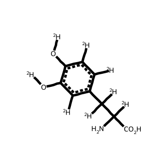 [2H]Oc1c([2H])c([2H])c(C([2H])([2H])C([2H])(N)C(=O)O)c([2H])c1O[2H]